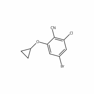 N#Cc1c(Cl)cc(Br)cc1OC1CC1